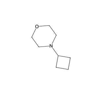 C1CC(N2CCOCC2)C1